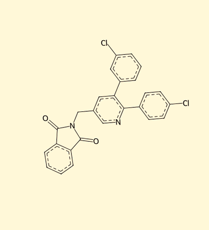 O=C1c2ccccc2C(=O)N1Cc1cnc(-c2ccc(Cl)cc2)c(-c2cccc(Cl)c2)c1